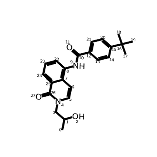 CC(O)Cn1ccc2c(NC(=O)c3ccc(C(C)(C)C)cc3)cccc2c1=O